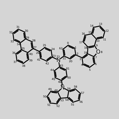 c1cc(-c2cccc3oc4c5ccccc5ccc4c23)cc(N(c2ccc(-c3cc4ccccc4c4ccccc34)cc2)c2ccc(-n3c4ccccc4c4ccccc43)cc2)c1